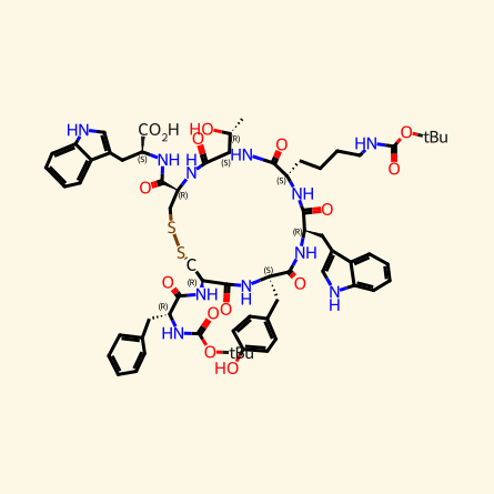 C[C@@H](O)[C@@H]1NC(=O)[C@H](CCCCNC(=O)OC(C)(C)C)NC(=O)[C@@H](Cc2c[nH]c3ccccc23)NC(=O)[C@H](Cc2ccc(O)cc2)NC(=O)[C@@H](NC(=O)[C@@H](Cc2ccccc2)NC(=O)OC(C)(C)C)CSSC[C@@H](C(=O)N[C@@H](Cc2c[nH]c3ccccc23)C(=O)O)NC1=O